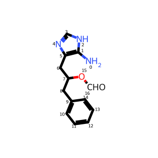 Nc1[nH]cnc1CC(Cc1ccccc1)OC=O